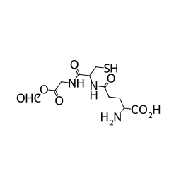 NC(CCC(=O)NC(CS)C(=O)NCC(=O)OC=O)C(=O)O